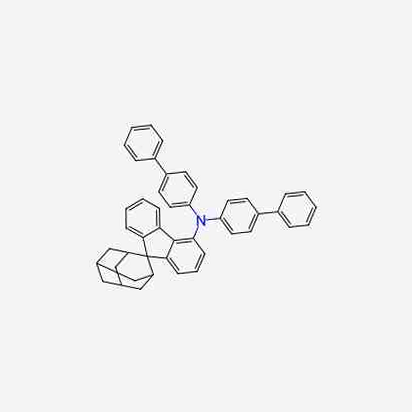 c1ccc(-c2ccc(N(c3ccc(-c4ccccc4)cc3)c3cccc4c3-c3ccccc3C43C4CC5CC(C4)CC3C5)cc2)cc1